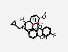 CO[C@@]12C=C[C@]3(C[C@]1(C)[C@@H](O)c1ccc(F)cc1)[C@@H]1Cc4ccc(O)c5c4[C@]3(CCN1CC1CC1)[C@@H]2O5